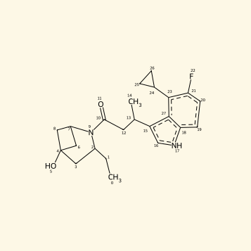 CCC1CC2(O)CC(C2)N1C(=O)CC(C)c1c[nH]c2ccc(F)c(C3CC3)c12